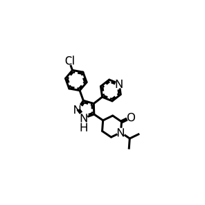 CC(C)N1CCC(c2[nH]nc(-c3ccc(Cl)cc3)c2-c2ccncc2)CC1=O